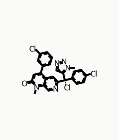 Cn1nncc1[C@@](Cl)(c1ccc(Cl)cc1)c1cc2c(-c3cccc(Cl)c3)cc(=O)n(C)c2cn1